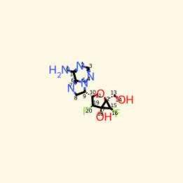 NC1=NC=NN2C1=NCC2[C@@H]1O[C@@]2(CO)C(F)[C@]2(O)[C@H]1F